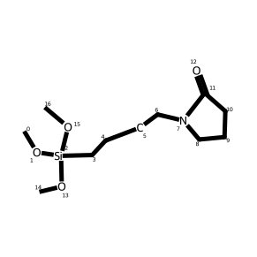 CO[Si](CCCCN1CCCC1=O)(OC)OC